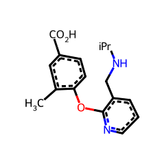 Cc1cc(C(=O)O)ccc1Oc1ncccc1CNC(C)C